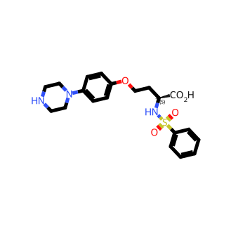 O=C(O)[C@H](CCOc1ccc(N2CCNCC2)cc1)NS(=O)(=O)c1ccccc1